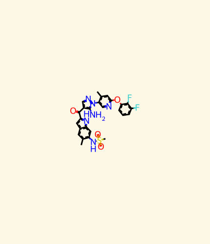 Cc1cc2cc(C(=O)c3cnn(-c4cnc(Oc5cccc(F)c5F)cc4C)c3N)[nH]c2cc1NS(C)(=O)=O